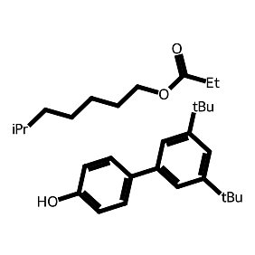 CC(C)(C)c1cc(-c2ccc(O)cc2)cc(C(C)(C)C)c1.CCC(=O)OCCCCCC(C)C